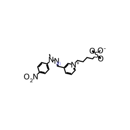 CN(/N=C/c1ccc[n+](CCCCS(=O)(=O)[O-])c1)c1ccc([N+](=O)[O-])cc1